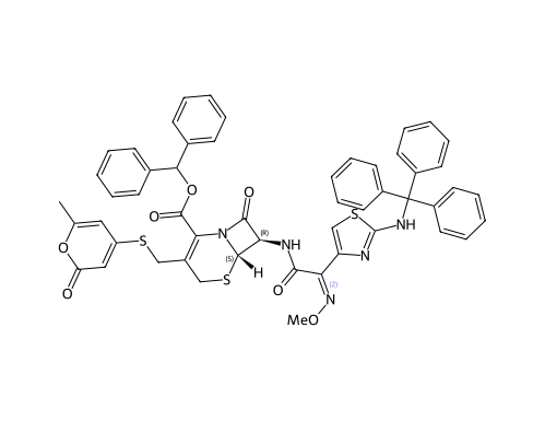 CO/N=C(\C(=O)N[C@@H]1C(=O)N2C(C(=O)OC(c3ccccc3)c3ccccc3)=C(CSc3cc(C)oc(=O)c3)CS[C@@H]12)c1csc(NC(c2ccccc2)(c2ccccc2)c2ccccc2)n1